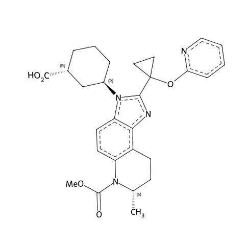 COC(=O)N1c2ccc3c(nc(C4(Oc5ccccn5)CC4)n3[C@@H]3CCC[C@@H](C(=O)O)C3)c2CC[C@@H]1C